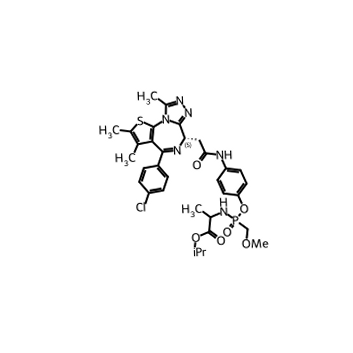 COCP(=O)(NC(C)C(=O)OC(C)C)Oc1ccc(NC(=O)C[C@@H]2N=C(c3ccc(Cl)cc3)c3c(sc(C)c3C)-n3c(C)nnc32)cc1